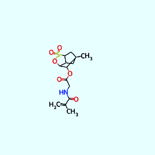 C=C(C)C(=O)NCC(=O)OC1C2OS(=O)(=O)C3CC1(C)CC23